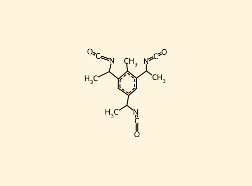 Cc1c(C(C)N=C=O)cc(C(C)N=C=O)cc1C(C)N=C=O